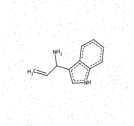 C=CC(N)c1c[nH]c2ccccc12